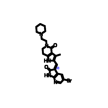 Cc1c(/C=C2\C(=O)Nc3ncc(Br)cc32)[nH]c2c1C(=O)N(CCN1CCCCC1)CC2